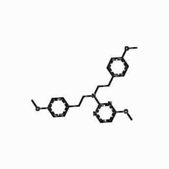 COc1ccc(CCN(CCc2ccc(OC)cc2)c2nccc(OC)n2)cc1